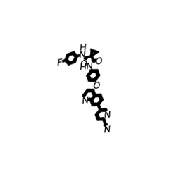 N#Cc1ccc(-c2ccc3c(Oc4ccc(NC(=O)C5(C(=O)Nc6ccc(F)cc6)CC5)cc4)ccnc3c2)cn1